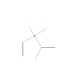 CCC(C)([O-])C(C)C.[K+]